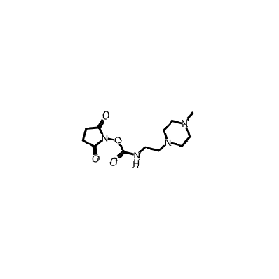 CN1CCN(CCNC(=O)ON2C(=O)CCC2=O)CC1